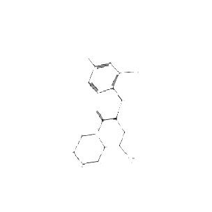 O=C(C(CCO)Cc1ccc(O)cc1O)N1CCCCC1